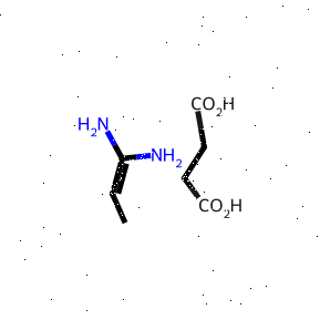 CC=C(N)N.O=C(O)CCC(=O)O